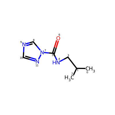 CC(C)CNC(=O)n1cncn1